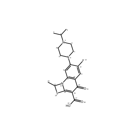 CC(C)N1CCN(c2cc3c(cc2F)c(=O)c(C(=O)O)c2n3C(C)S2)CC1